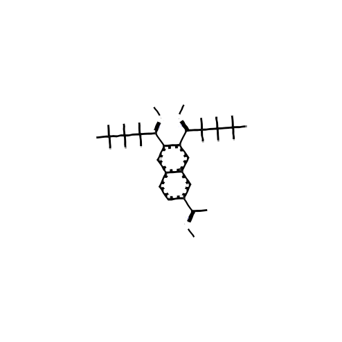 C/N=C(/c1cc2ccc(/C(C)=N/C)cc2cc1/C(=N/C)C(F)(F)C(F)(F)C(F)(F)F)C(F)(F)C(F)(F)C(F)(F)F